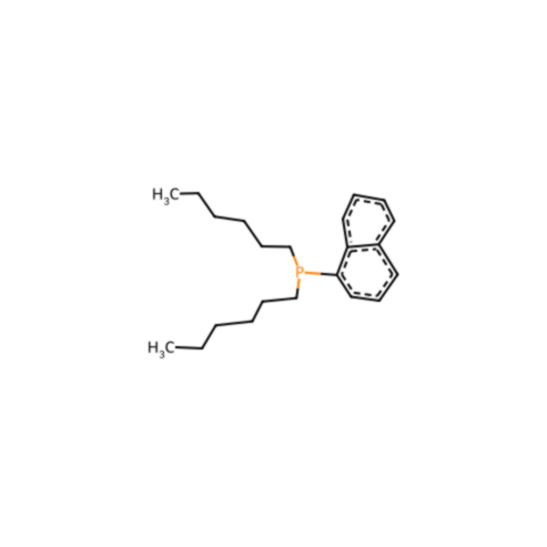 CCCCCCP(CCCCCC)c1cccc2ccccc12